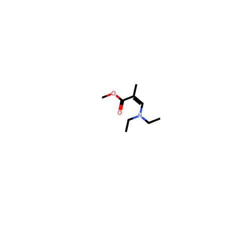 CCN(C=C(C)C(=O)OC)CC